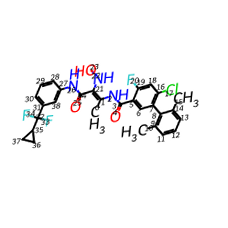 C/C(NC(=O)c1cc(-c2c(C)cccc2C)c(Cl)cc1F)=C(/NO)C(=O)Nc1cccc(C(F)(F)C2CC2)c1